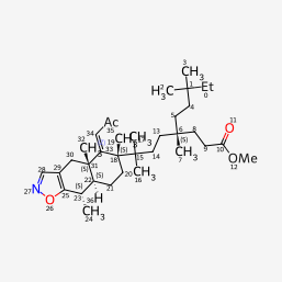 CCC(C)(C)CC[C@](C)(CCC(=O)OC)CCC(C)(C)[C@]1(C)CC[C@H]2[C@H](C)c3oncc3C[C@]2(C)/C1=C/C(C)=O